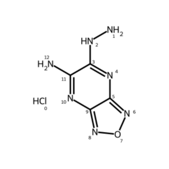 Cl.NNc1nc2nonc2nc1N